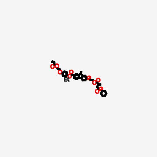 C=CC(=O)OCCOc1ccc(OC(=O)c2ccc3c(c2)C(C)c2cc(OCCOC(=O)C(=C)CC(=O)OC4CCCCC4)ccc2-3)c(CC)c1